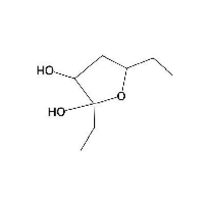 CCC1CC(O)C(O)(CC)O1